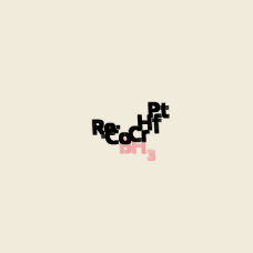 B.[Co].[Cr].[Hf].[Pt].[Re]